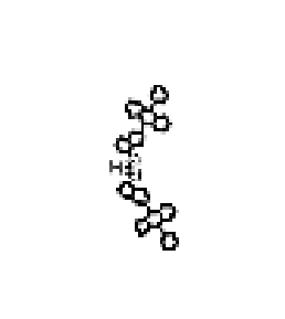 B(Oc1cccc2cc(-c3c4ccccc4c(-c4ccccc4)c4ccccc34)ccc12)Oc1cccc2cc(-c3c4ccccc4c(-c4ccccc4)c4ccccc34)ccc12